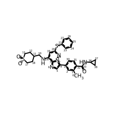 Cc1cc(-c2cnc3c(NCC4CCS(=O)(=O)CC4)cc(Sc4ccccc4)nn23)ccc1C(=O)NC1CC1